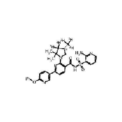 [2H]C([2H])([2H])[C@@H]1CN(c2nc(-c3ccc(OC(C)C)nc3)ccc2C(=O)NS(=O)(=O)c2cccnc2N)C(C)(C)C1([2H])[2H]